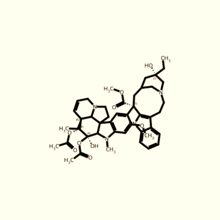 CC[C@]1(O)CC2CN(CCc3c([nH]c4ccccc34)[C@@](C(=O)OC)(c3cc4c(cc3OC)N(C)C3C45CCN4CC=C[C@](CC)(C45)[C@@H](OC(C)=O)[C@]3(O)OC(C)=O)C2)C1